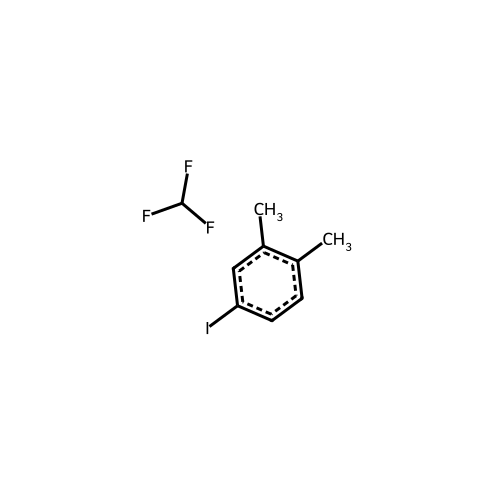 Cc1ccc(I)cc1C.FC(F)F